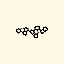 c1ccc(-n2c3ccc4ccccc4c3c3cccc(-c4cccc(-c5ccc6c7c(cccc57)-c5ccccc5S6)c4)c32)cc1